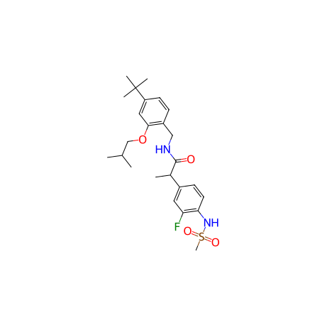 CC(C)COc1cc(C(C)(C)C)ccc1CNC(=O)C(C)c1ccc(NS(C)(=O)=O)c(F)c1